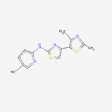 Cc1nc(C)c(-c2csc(Nc3ccc(C#N)cn3)n2)s1